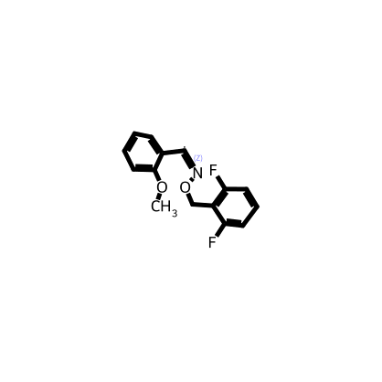 COc1ccccc1/[C]=N\OCc1c(F)cccc1F